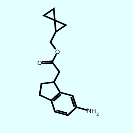 Nc1ccc2c(c1)C(CC(=O)OCC1CC13CC3)CC2